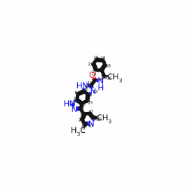 Cc1cc(-c2n[nH]c3cc4[nH]c(C(=O)N[C@H](C)c5ccccc5)nc4cc23)cc(C)n1